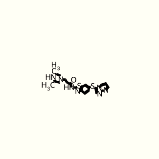 CC1CN(CCC(=O)Nc2nc3ccc(Sc4cnc5ncccn45)cc3s2)CC(C)N1